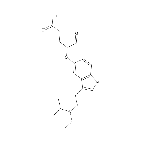 CCN(CCc1c[nH]c2ccc(OC(C=O)CCC(=O)O)cc12)C(C)C